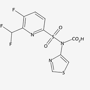 O=C(O)N(c1cscn1)S(=O)(=O)c1ccc(F)c(C(F)F)n1